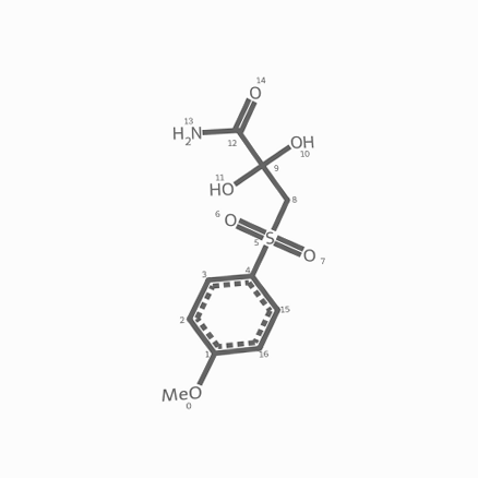 COc1ccc(S(=O)(=O)CC(O)(O)C(N)=O)cc1